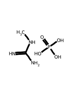 CNC(=N)N.O=P(O)(O)O